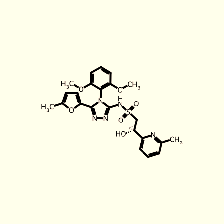 COc1cccc(OC)c1-n1c(NS(=O)(=O)C[C@@H](O)c2cccc(C)n2)nnc1-c1ccc(C)o1